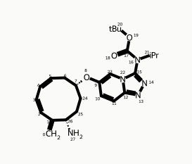 C=C1/C=C\C=C/C[C@H](Oc2ccc3nnc(N(C(=O)OC(C)(C)C)C(C)C)n3c2)CC[C@@H]1N